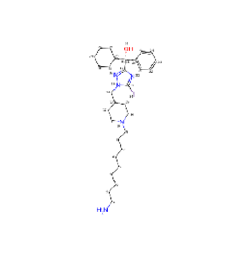 NCCCCCCCCCN1CCC(Cn2nc([C@](O)(c3ccccc3)C3CCCCC3)nc2I)CC1